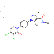 CCNC(=O)c1cnn(-c2ccc(-n3ccc(Cl)c(Cl)c3=O)cc2)c1C#N